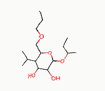 CCCOCC1OC(OC(C)CC)C(O)C(O)C1C(C)C